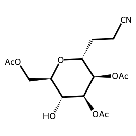 CC(=O)OC[C@H]1O[C@H](CCC#N)[C@@H](OC(C)=O)[C@@H](OC(C)=O)[C@@H]1O